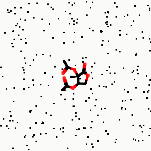 CC(=O)O[C@@H]1COC(=O)[C@@]1(C)OC(C)=O